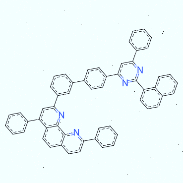 c1ccc(-c2cc(-c3ccc(-c4cccc(-c5cc(-c6ccccc6)c6ccc7ccc(-c8ccccc8)nc7c6n5)c4)cc3)nc(-c3cccc4ccccc34)n2)cc1